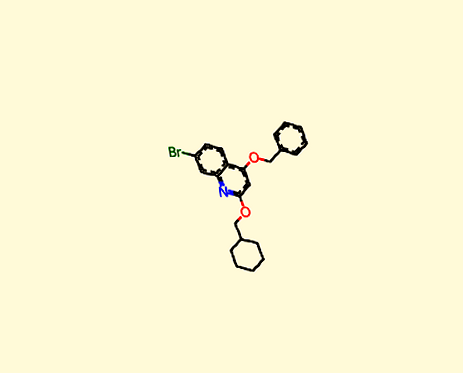 Brc1ccc2c(OCc3ccccc3)cc(OCC3CCCCC3)nc2c1